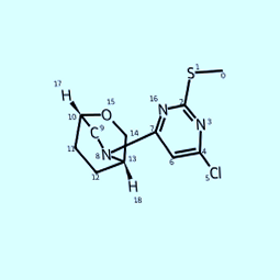 CSc1nc(Cl)cc(N2C[C@@H]3CC[C@H]2CO3)n1